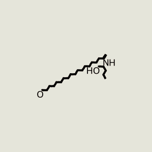 C=C(CCCCCCCCCCCCCCCCC=O)NC(CO)CCC